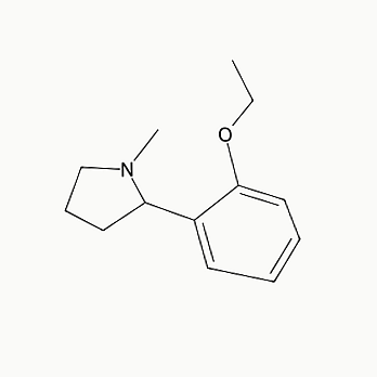 CCOc1ccccc1C1CCCN1C